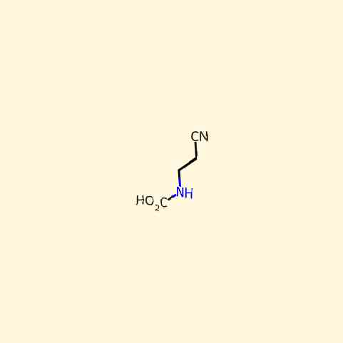 N#CCCNC(=O)O